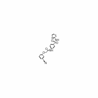 N#Cc1cccc(OCC(=O)Nc2ccc(S(=O)(=O)Nc3nccs3)cc2)c1